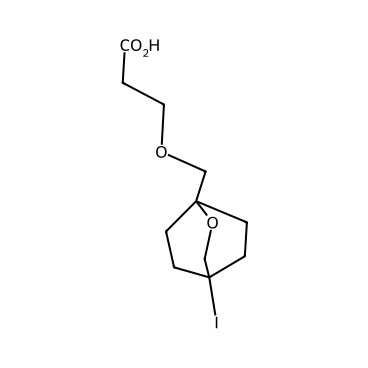 O=C(O)CCOCC12CCC(I)(CC1)CO2